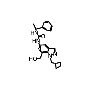 CC(NC(=O)Nc1cc2cnn(CC3CCC3)c2c(CO)n1)c1ccccc1